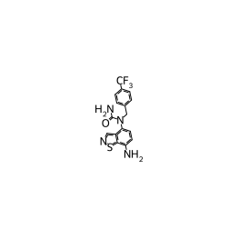 NC(=O)N(Cc1ccc(C(F)(F)F)cc1)c1ccc(N)c2sncc12